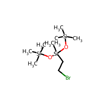 C[Si](C)(C)O[Si](C)(CCBr)O[Si](C)(C)C